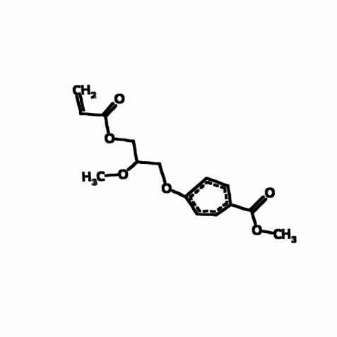 C=CC(=O)OCC(COc1ccc(C(=O)OC)cc1)OC